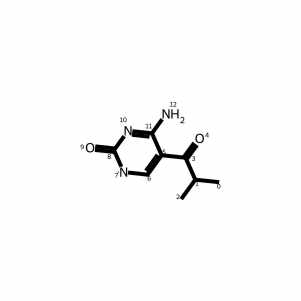 CC(C)C(=O)C1=C[N]C(=O)N=C1N